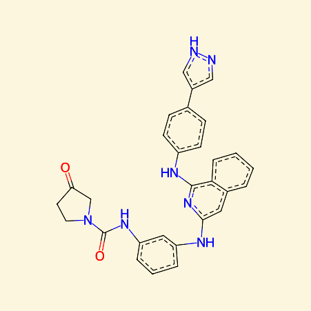 O=C1CCN(C(=O)Nc2cccc(Nc3cc4ccccc4c(Nc4ccc(-c5cn[nH]c5)cc4)n3)c2)C1